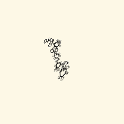 COC(=O)c1cncc(OC(=O)N2CCC(CCc3cccc(C(=O)N4CCCCC4)c3)CC2)c1